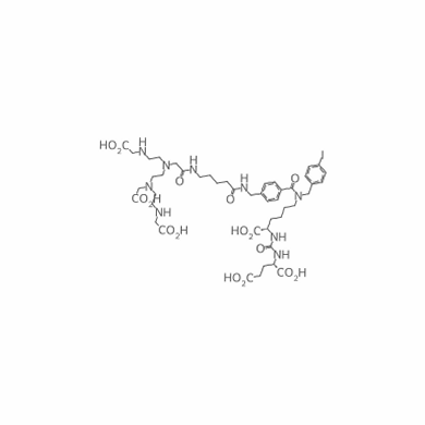 O=C(O)CC[C@@H](NC(=O)N[C@H](CCCCN(Cc1ccc(I)cc1)C(=O)c1ccc(CNC(=O)CCCCNC(=O)CN(CCNCC(=O)O)CCN(CCNCC(=O)O)CC(=O)O)cc1)C(=O)O)C(=O)O